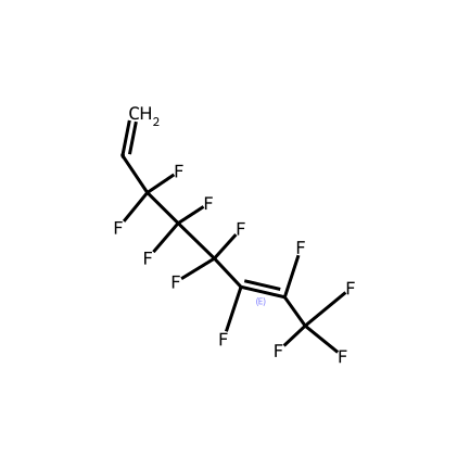 C=CC(F)(F)C(F)(F)C(F)(F)/C(F)=C(\F)C(F)(F)F